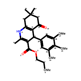 COCCOC(=O)C1=C(C)NC2=C(C(=O)CC(C)(C)C2)C1c1cc(OC)c(OC)c(OC)c1